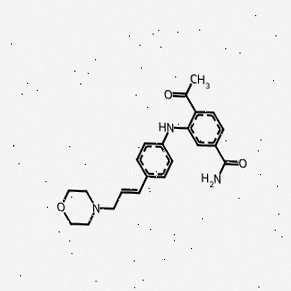 CC(=O)c1ccc(C(N)=O)cc1Nc1ccc(C=CCN2CCOCC2)cc1